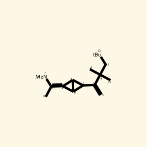 C=C(C1C2C(=C(C)NC)C12)C(C)(C)CC(C)(C)C